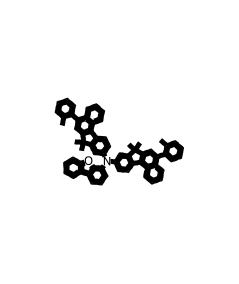 Cc1ccccc1-c1cc2c(c3ccccc13)-c1ccc(N(c3ccc4c(c3)C(C)(C)c3cc(-c5ccccc5C)c5ccccc5c3-4)c3cccc4c3oc3ccccc34)cc1C2(C)C